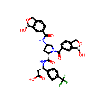 O=C(O)C[C@H](NC(=O)[C@@H]1C[C@@H](NC(=O)c2ccc3c(c2)B(O)OC3)CN1C(=O)c1ccc2c(c1)B(O)OC2)c1ccc(C(F)(F)F)cc1